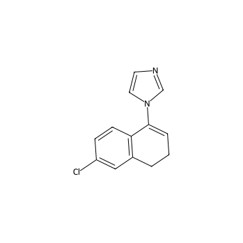 Clc1ccc2c(c1)CCC=C2n1ccnc1